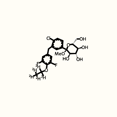 [2H]C([2H])([2H])C([2H])([2H])Oc1c(F)cc(Cc2cc([C@]3(OC)O[C@H](CO)[C@@H](O)[C@H](O)[C@H]3O)ccc2Cl)cc1F